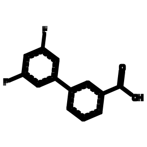 O=C(O)c1cccc(-c2cc(F)cc(F)c2)c1